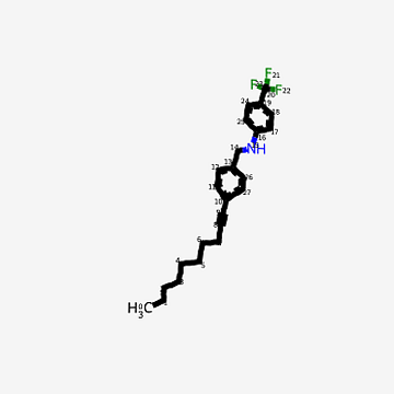 CCCCCCCCC#Cc1ccc(CNc2ccc(C(F)(F)F)cc2)cc1